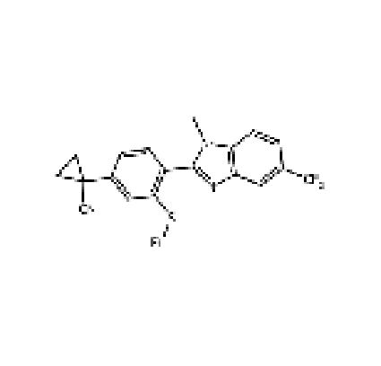 CCSc1cc(C2(C#N)CC2)ccc1-c1nc2cc(C(F)(F)F)ccc2n1C